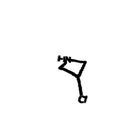 ClC1CNC1